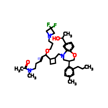 CCCc1cc(C)ccc1C1COc2ccc(C(C)O)cc2N(CC2CCC2C(/C=C/CCN(C)C(C)=O)OCCCN2CC(F)(F)C2)C1